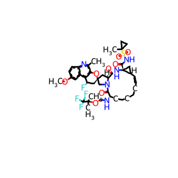 COc1ccc2nc(C)c3c(c2c1)[C@H](F)C[C@]1(C[C@H]2C(=O)N[C@]4(C(=O)NS(=O)(=O)C5(C)CC5)C[C@H]4/C=C\CCCCC[C@H](NCOC(C)(C)C(F)(F)F)C(=O)N2C1)O3